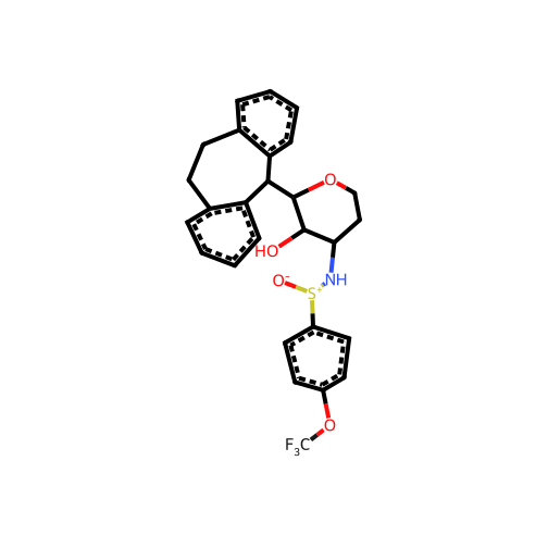 [O-][S+](NC1CCOC(C2c3ccccc3CCc3ccccc32)C1O)c1ccc(OC(F)(F)F)cc1